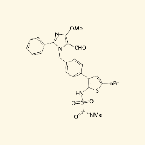 CCCc1cc(-c2ccc(Cn3c(-c4ccccc4)nc(OC)c3C=O)cc2)c(NS(=O)(=O)C(=O)NC)s1